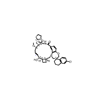 CO[C@@H]1C/C=C/[C@H](O)[C@@H]2CC[C@H]2CN2C[C@@]3(CCCc4cc(Cl)ccc43)COc3ccc(cc32)C(=O)NS(=O)(=O)[C@@H]1C[C@@H]1CCCO1